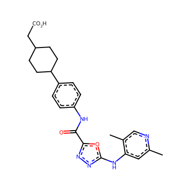 Cc1cc(Nc2nnc(C(=O)Nc3ccc(C4CCC(CC(=O)O)CC4)cc3)o2)c(C)cn1